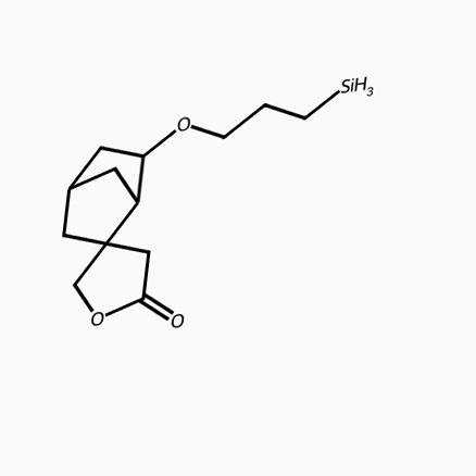 O=C1CC2(CO1)CC1CC(OCCC[SiH3])C2C1